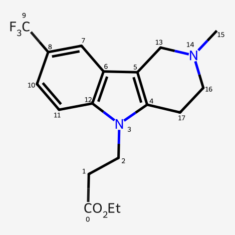 CCOC(=O)CCn1c2c(c3cc(C(F)(F)F)ccc31)CN(C)CC2